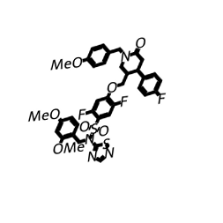 COc1ccc(CN2CC(COc3cc(F)c(S(=O)(=O)N(Cc4ccc(OC)cc4OC)c4ncns4)cc3F)C(c3ccc(F)cc3)CC2=O)cc1